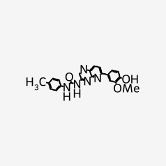 COc1cc(-c2ccc3ncc(NC(=O)Nc4ccc(C)cc4)nc3n2)ccc1O